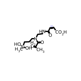 C=C(C)C(=O)N(CCC[Si](C)(O)O)CCNC(=O)/C=C\C(=O)O